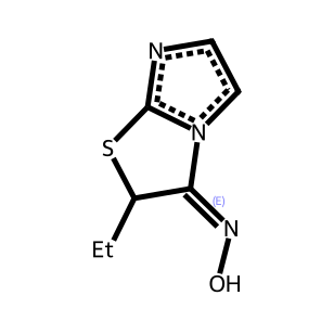 CCC1Sc2nccn2/C1=N/O